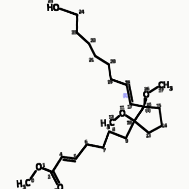 COC(=O)C=CCCCCC1(OC)CCC[C@]1(/C=C/CCCCCCO)OC